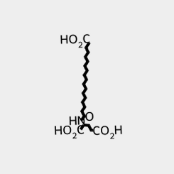 O=C(O)CCCCCCCCCCCCCCCCC(=O)NC(CCC(=O)O)C(=O)O